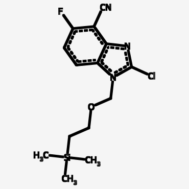 C[Si](C)(C)CCOCn1c(Cl)nc2c(C#N)c(F)ccc21